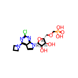 O=P(O)(O)COC[C@H]1O[C@@H](n2ccc3c(N4CCC4)nc(Cl)nc32)[C@H](O)[C@@H]1O